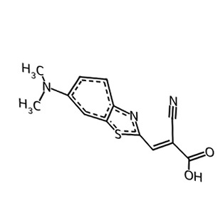 CN(C)c1ccc2nc(/C=C(\C#N)C(=O)O)sc2c1